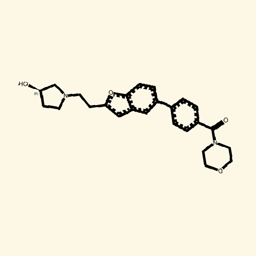 O=C(c1ccc(-c2ccc3oc(CCN4CC[C@@H](O)C4)cc3c2)cc1)N1CCOCC1